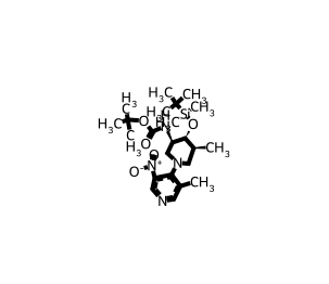 Cc1cncc([N+](=O)[O-])c1N1C[C@H](C)[C@@H](O[Si](C)(C)C(C)(C)C)[C@H](NC(=O)OC(C)(C)C)C1